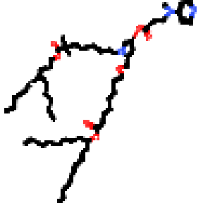 CCCCCCCCC(CCCCCCCC)OC(=O)CCCCCCCOCC1C[C@H](OC(=O)CCN(C)c2ccncc2)CN1CCCCCCC(C)(C)C(=O)OCCCC(CCCCC)CCCCC